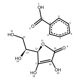 O=C(O)c1ccccc1.O=C1O[C@H]([C@@H](O)CO)C(O)=C1O